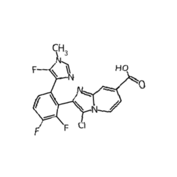 Cn1cnc(-c2ccc(F)c(F)c2-c2nc3cc(C(=O)O)ccn3c2Cl)c1F